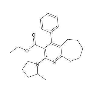 CCOC(=O)c1c(N2CCCC2C)nc2c(c1-c1ccccc1)CCCCC2